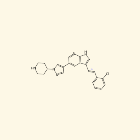 Clc1ccccc1/C=C/c1c[nH]c2ncc(-c3cnn(C4CCNCC4)c3)cc12